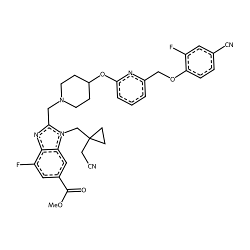 COC(=O)c1cc(F)c2nc(CN3CCC(Oc4cccc(COc5ccc(C#N)cc5F)n4)CC3)n(CC3(CC#N)CC3)c2c1